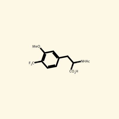 COc1cc(CC(NC(C)=O)C(=O)O)ccc1C(F)(F)F